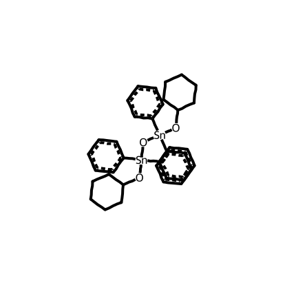 c1cc[c]([Sn]([O]C2CCCCC2)([O][Sn]([O]C2CCCCC2)([c]2ccccc2)[c]2ccccc2)[c]2ccccc2)cc1